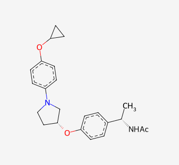 CC(=O)N[C@@H](C)c1ccc(O[C@@H]2CCN(c3ccc(OC4CC4)cc3)C2)cc1